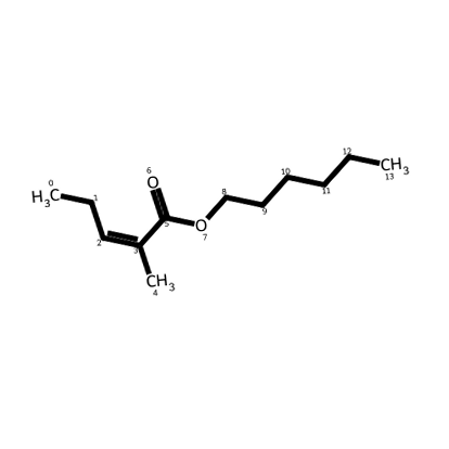 CCC=C(C)C(=O)OCCCCCC